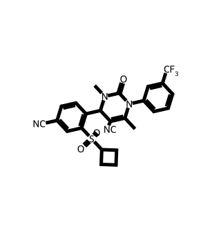 CC1=C(C#N)C(c2ccc(C#N)cc2S(=O)(=O)C2CCC2)N(C)C(=O)N1c1cccc(C(F)(F)F)c1